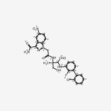 C[C@@](CO)(NC(=O)Cn1nc(C(N)=O)c2cc([N+](=O)[O-])ccc21)C(C=O)Nc1cccc(-c2ccccc2Cl)c1F